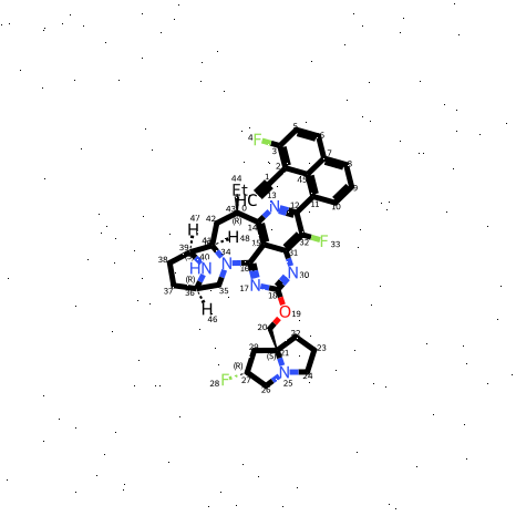 C#Cc1c(F)ccc2cccc(-c3nc4c5c(nc(OC[C@@]67CCCN6C[C@H](F)C7)nc5c3F)N3C[C@H]5CC[C@H](N5)[C@H]3C[C@H]4CC)c12